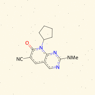 CNc1ncc2cc(C#N)c(=O)n(C3CCCC3)c2n1